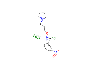 Cl.O=[N+]([O-])c1cccc(/C(Cl)=N/OCCCN2CCCCC2)c1